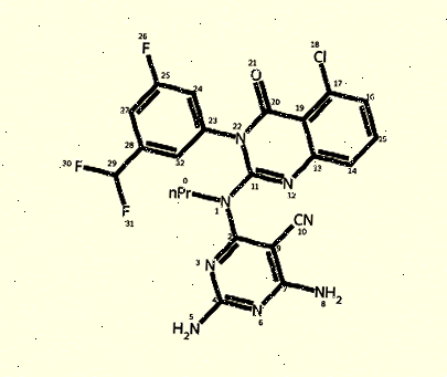 CCCN(c1nc(N)nc(N)c1C#N)c1nc2cccc(Cl)c2c(=O)n1-c1cc(F)cc(C(F)F)c1